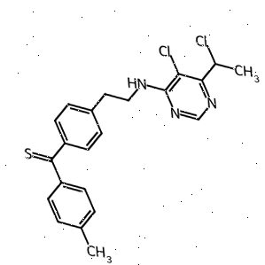 Cc1ccc(C(=S)c2ccc(CCNc3ncnc(C(C)Cl)c3Cl)cc2)cc1